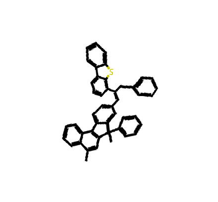 Cc1cc2c(c3ccccc13)-c1ccc(/C=C(/Cc3ccccc3)c3cccc4c3sc3ccccc34)cc1C2(C)c1ccccc1